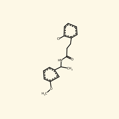 COc1cccc(C(C)NC(=O)CCc2ccccc2Cl)c1